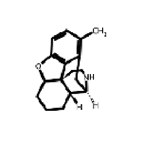 Cc1ccc2c3c1C[C@H]1NCC[C@@]34C(CCC[C@@H]14)O2